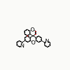 c1ccc(-c2ccc3c(c2)Oc2cc(-c4ccccn4)ccc2C32c3ccccc3Oc3ccccc32)nc1